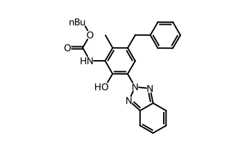 CCCCOC(=O)Nc1c(C)c(Cc2ccccc2)cc(-n2nc3ccccc3n2)c1O